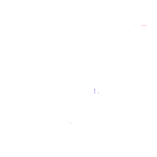 CC(C)=CCCC(C)=CCCC(C)=CCCC1(C)CCc2c3c(cc(C)c2O1)OCN(CCCCCCCCO)C3